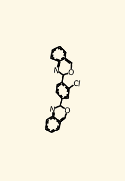 Clc1cc(C2N=c3ccccc3=CO2)ccc1C1N=c2ccccc2=CO1